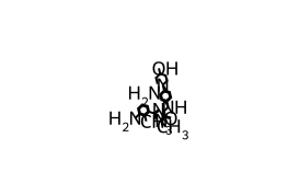 Cc1c(N)cccc1-c1cn(C)c(=O)c(Nc2ccc(N3CCC(O)CC3)c(N)c2)n1